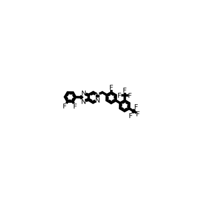 Fc1cc(-c2ccc(C(F)(F)F)cc2C(F)(F)F)ccc1Cn1cc2nc(-c3cccc(F)c3F)nc-2cn1